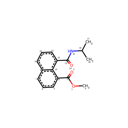 COC(=O)c1cccc2cccc(C(=O)NC(C)C)c12